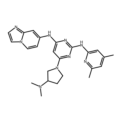 Cc1cc(C)nc(Nc2nc(Nc3ccn4ccnc4c3)cc(N3CCC(N(C)C)C3)n2)c1